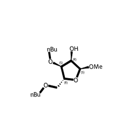 CCCCOC[C@H]1O[C@H](OC)[C@H](O)[C@@H]1OCCCC